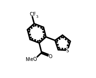 COC(=O)c1ccc(C(F)(F)F)cc1-c1ccsc1